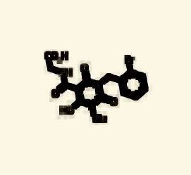 CC(C)(C)n1c(O)c(C(=O)NCC(=O)O)c(=O)n(Cc2ccccc2Br)c1=O